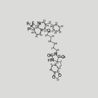 CCC1(c2ccc3c(c2)OCO3)NC(=O)N(CCCCCCOc2c(Cc3ccccc3)cnc3c(C(F)(F)F)cccc23)C1=O